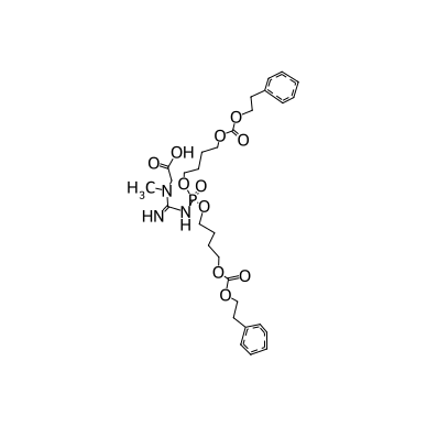 CN(CC(=O)O)C(=N)NP(=O)(OCCCCOC(=O)OCCc1ccccc1)OCCCCOC(=O)OCCc1ccccc1